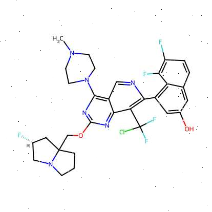 CN1CCN(c2nc(OCC34CCCN3C[C@H](F)C4)nc3c(C(F)(F)Cl)c(-c4cc(O)cc5ccc(F)c(F)c45)ncc23)CC1